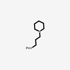 CCCC(C)CCCN1CCCCC1